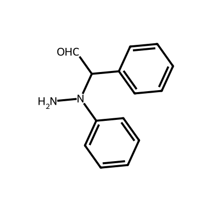 NN(c1ccccc1)C(C=O)c1ccccc1